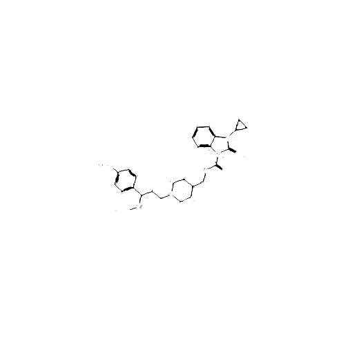 COc1ccc(C(CCN2CCC(CNC(=O)n3c(=O)n(C4CC4)c4ccccc43)CC2)NC(=O)O)cc1